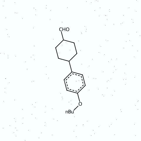 CCCCOc1ccc(C2CCC(C=O)CC2)cc1